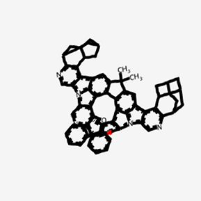 CC1(C)c2cc3c4c5c(ncc4n4c6cnc7c8ccccc8oc7c6c(c2-c2c1cc1c6c7c(ncc6n6c8cnc9c%10ccccc%10oc9c8c2c16)C1CC2CC6CC7C26C1)c34)C1CC2CC(C1)C5C2